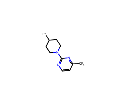 CCC1CCN(c2nccc(C(F)(F)F)n2)CC1